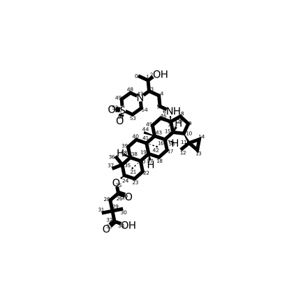 CC(O)C(CCN[C@]12CC[C@@H](C3(C)CC3)[C@@H]1[C@H]1CC[C@@H]3[C@@]4(C)CC[C@H](OC(=O)CC(C)(C)C(=O)O)C(C)(C)[C@@H]4CC[C@@]3(C)[C@]1(C)CC2)N1CCS(=O)(=O)CC1